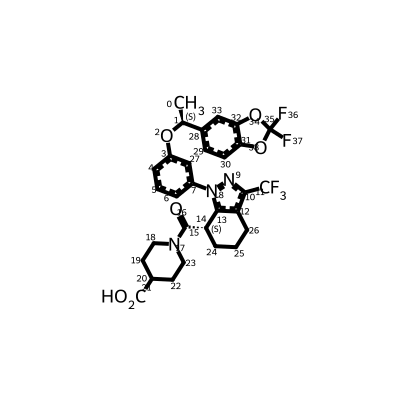 C[C@H](Oc1cccc(-n2nc(C(F)(F)F)c3c2[C@@H](C(=O)N2CCC(C(=O)O)CC2)CCC3)c1)c1ccc2c(c1)OC(F)(F)O2